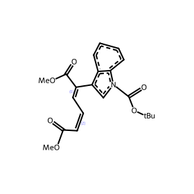 COC(=O)/C=C\C=C(\C(=O)OC)c1cn(C(=O)OC(C)(C)C)c2ccccc12